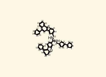 c1ccc(-c2ccc(CNC(NCc3ccc4sc5c6ccccc6c(-c6ccccc6)cc5c4c3)c3ccc4c(c3)oc3cccc(-c5ccccc5)c34)cc2)cc1